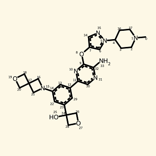 CN1CCC(n2cc(Oc3nc(-c4cc(N5CC6(COC6)C5)cc(C5(O)COC5)c4)cnc3N)cn2)CC1